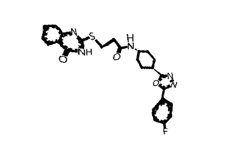 O=C(CCSc1nc2ccccc2c(=O)[nH]1)N[C@H]1CC[C@H](c2nnc(-c3ccc(F)cc3)o2)CC1